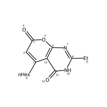 CCCCCCc1cc(=O)oc2nc(CC)[nH]c(=O)c12